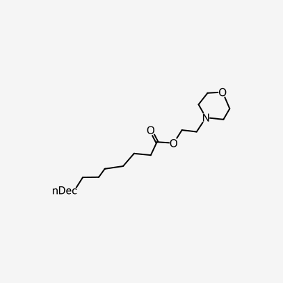 CCCCCCCCCCCCCCCCC(=O)OCCN1CCOCC1